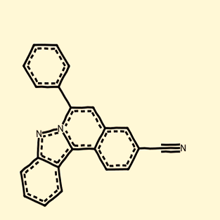 N#Cc1ccc2c(c1)cc(-c1ccccc1)n1nc3ccccc3c21